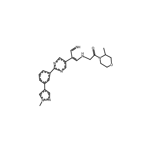 CC1COCCN1C(=O)CN/C=C(\C=N)c1cnc(-c2cccc(-c3cnn(C)c3)c2)nc1